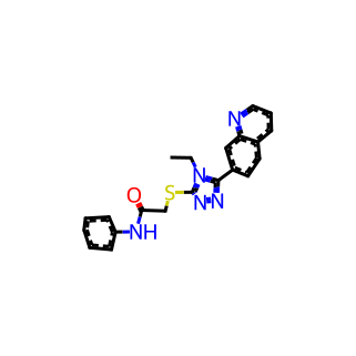 CCn1c(SCC(=O)Nc2ccccc2)nnc1-c1ccc2cccnc2c1